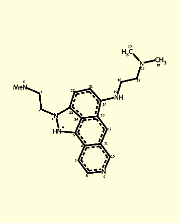 CNCCN1Nc2c3ccncc3cc3c(NCCN(C)C)ccc1c23